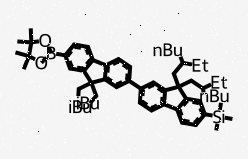 CCCCC(CC)CC1(CC(CC)CCCC)c2cc(-c3ccc4c(c3)C(CC(C)CC)(CC(C)CC)c3cc(B5OC(C)(C)C(C)(C)O5)ccc3-4)ccc2-c2ccc([Si](C)(C)C)cc21